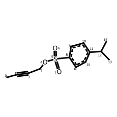 CC#CCOS(=O)(=O)c1ccc(C(C)C)cc1